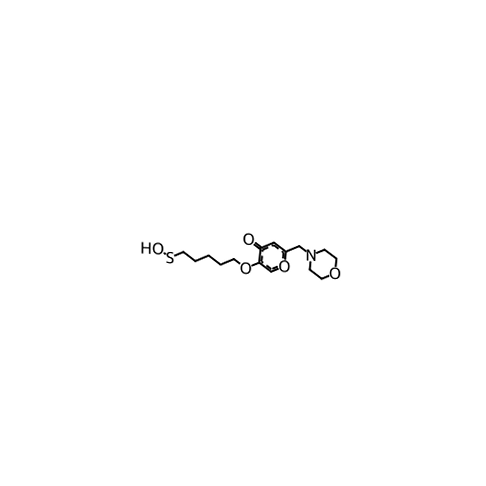 O=c1cc(CN2CCOCC2)occ1OCCCCCSO